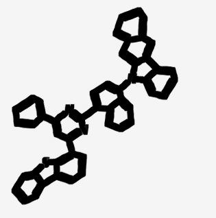 c1ccc(-c2cc(-c3cccc4c3sc3ccccc34)nc(-c3ccc(-n4c5ccccc5c5cc6ccccc6cc54)c4ccccc34)n2)cc1